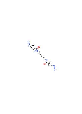 [N-]=[N+]=Nc1ccc(C(=O)NCCCCCCNC(=O)c2ccc(N=[N+]=[N-])cc2)cc1